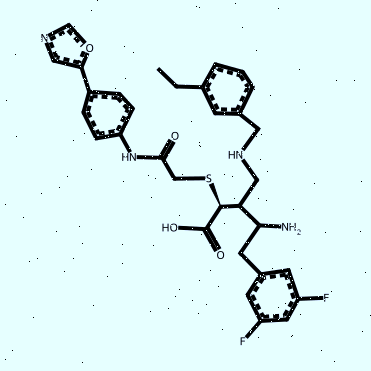 CCc1cccc(CNCC(C(N)Cc2cc(F)cc(F)c2)[C@H](SCC(=O)Nc2ccc(-c3cnco3)cc2)C(=O)O)c1